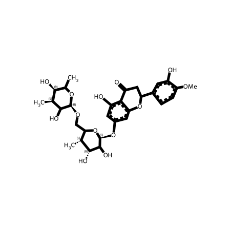 COc1ccc(C2CC(=O)c3c(O)cc(O[C@@H]4OC(CO[C@@H]5OC(C)[C@H](O)[C@H](C)C5O)[C@@H](C)[C@@H](O)C4O)cc3O2)cc1O